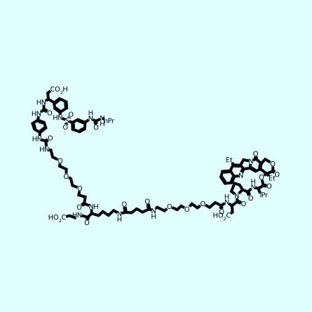 CCCNC(=O)Nc1cccc(S(=O)(=O)Nc2cccc(C(CC(=O)O)NC(=O)Nc3ccc(NC(=O)NCCOCCOCCOCCC(=O)NC(CCCCNC(=O)CCCC(=O)NCCOCCOCCOCCC(=O)NC(CC(=O)O)C(=O)N4CCCC4C(=O)NC(C(=O)OC4(CC)C(=O)OCc5c4cc4n(c5=O)Cc5c-4nc4ccccc4c5CC)C(C)C)C(=O)NCCC(=O)O)cc3)c2)c1